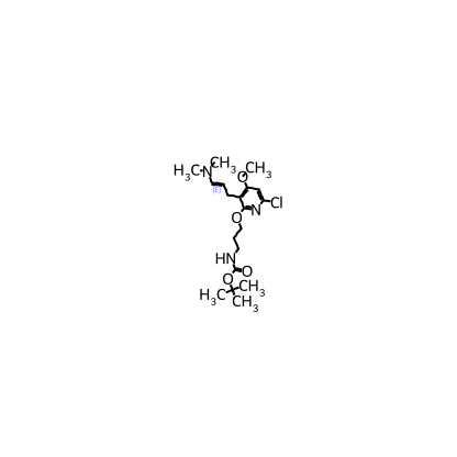 COc1cc(Cl)nc(OCCCNC(=O)OC(C)(C)C)c1C/C=C/N(C)C